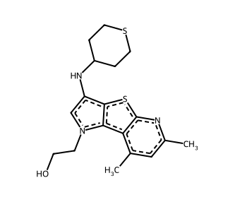 Cc1cc(C)c2c(n1)sc1c(NC3CCSCC3)cn(CCO)c12